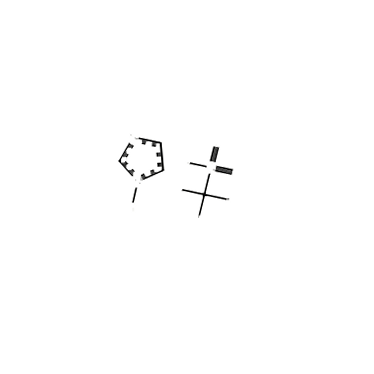 CCCC(C)n1ccnc1.O=S(=O)(O)C(F)(F)F